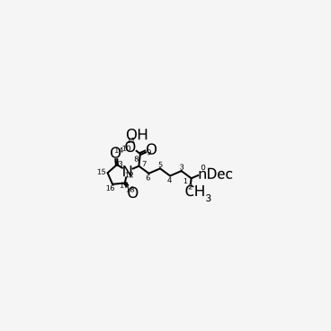 CCCCCCCCCCC(C)CCCCC(C(=O)OO)N1C(=O)CCC1=O